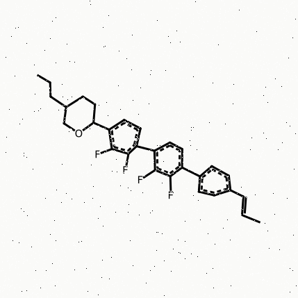 C/C=C/c1ccc(-c2ccc(-c3ccc(C4CCC(CCC)CO4)c(F)c3F)c(F)c2F)cc1